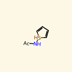 CC(=O)N[SH]1C=CC=C1